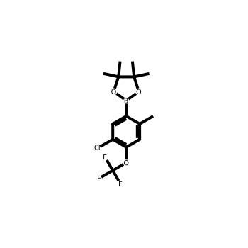 Cc1cc(OC(F)(F)F)c(Cl)cc1B1OC(C)(C)C(C)(C)O1